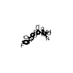 N#Cc1nn(-c2cc(Cl)c(Oc3ccc4c(c3)CCN(c3ccc(F)cc3)C4=O)c(Cl)c2)c(=O)[nH]c1=O